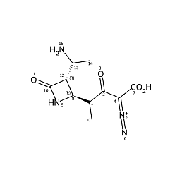 CC(C(=O)C(=[N+]=[N-])C(=O)O)[C@H]1NC(=O)[C@@H]1C(C)N